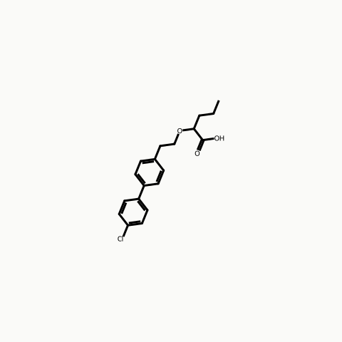 CCCC(OCCc1ccc(-c2ccc(Cl)cc2)cc1)C(=O)O